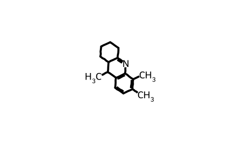 Cc1ccc2c(c1C)N=C1CCCCC1C2C